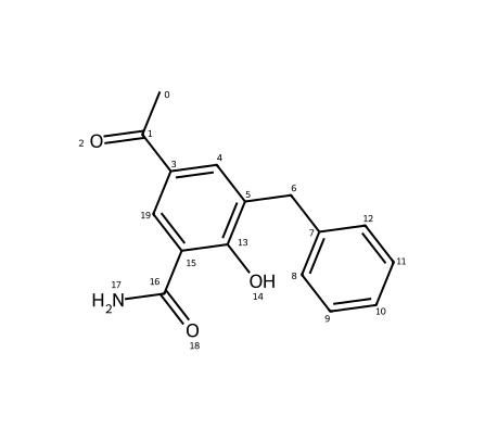 CC(=O)c1cc(Cc2ccccc2)c(O)c(C(N)=O)c1